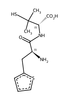 CC(C)(S)[C@@H](NC(=O)[C@@H](N)Cc1cccs1)C(=O)O